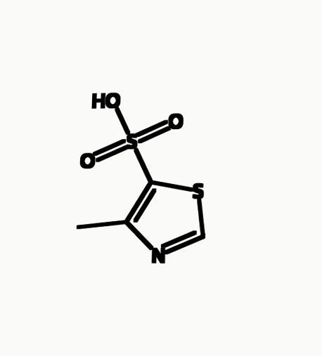 Cc1ncsc1S(=O)(=O)O